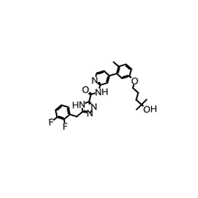 Cc1ccc(OCCCC(C)(C)O)cc1-c1ccnc(NC(=O)c2nnc(Cc3cccc(F)c3F)[nH]2)c1